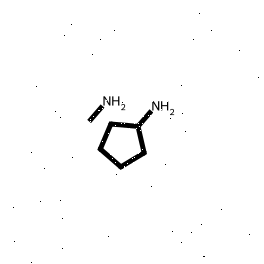 CN.NC1CCCC1